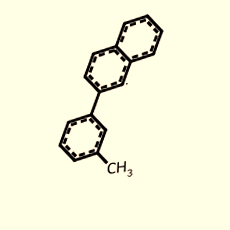 Cc1cccc(-c2[c]c3ccccc3cc2)c1